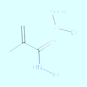 C=C(C)C(=O)NCC.CCOS(=O)(=O)O